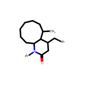 CC(C)CC1CC(=O)N(C(C)C)C2CCCCCCC(C)C12